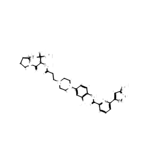 COc1cc(N2CCN(CCC(=O)NC(C(=O)N3CCCC3C)C(C)(C)C)CC2)ccc1NC(=O)c1cccc(-c2cc(C)n[nH]2)n1